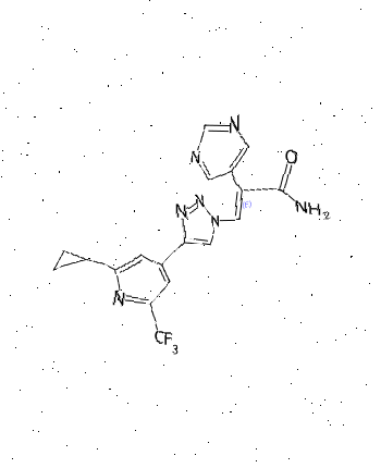 NC(=O)/C(=C/n1cc(-c2cc(C3CC3)nc(C(F)(F)F)c2)nn1)c1cncnc1